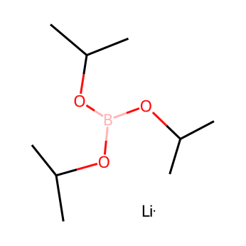 CC(C)OB(OC(C)C)OC(C)C.[Li]